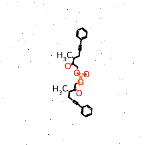 C[C@@H](CC#Cc1ccccc1)C(=O)CO[PH](=O)OCC(=O)[C@@H](C)CC#Cc1ccccc1